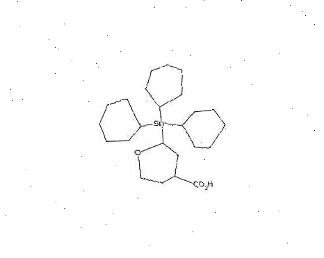 O=C(O)C1CCO[CH]([Sn]([CH]2CCCCC2)([CH]2CCCCC2)[CH]2CCCCC2)C1